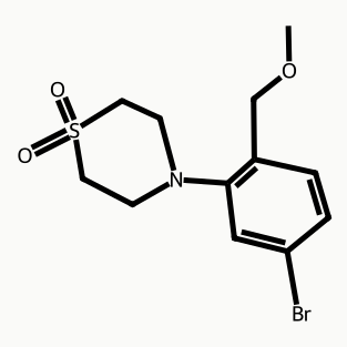 COCc1ccc(Br)cc1N1CCS(=O)(=O)CC1